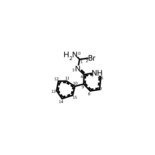 NC(Br)/N=c1\[nH]cccc1-c1ccccc1